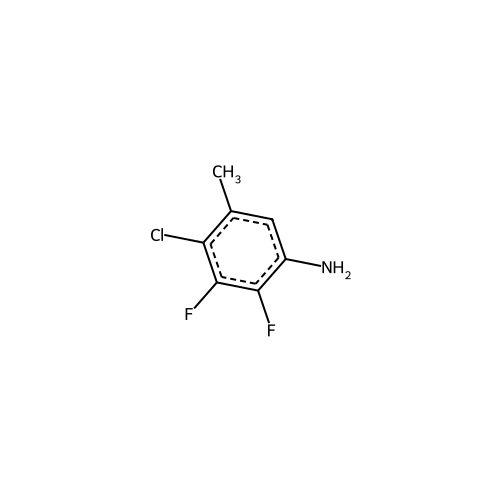 Cc1cc(N)c(F)c(F)c1Cl